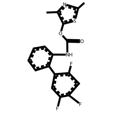 Cc1nc(C)c(OC(=O)Nc2ccccc2-c2cc(F)c(F)cc2F)s1